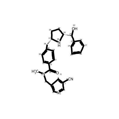 CN(Cc1cncc(C#N)c1)C(=O)c1ccc(C[C@@H]2CC[C@H](C(O)c3ccccc3)N2)cc1